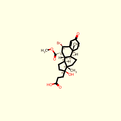 COC(=O)[C@H]1[C@@H]2[C@H](CC[C@@]3(C)[C@H]2CC[C@@]3(O)CCC(=O)O)[C@@]2(C)CCC(=O)C=C2[C@@H]1Br